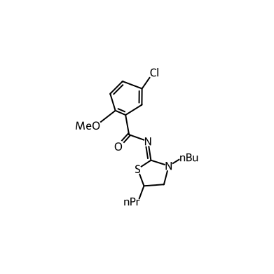 CCCCN1CC(CCC)S/C1=N\C(=O)c1cc(Cl)ccc1OC